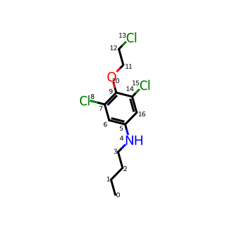 CCCCNc1cc(Cl)c(OCCCl)c(Cl)c1